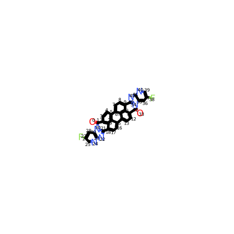 O=c1c2ccc3c4ccc5c6c(ccc(c7ccc(c2c37)c2nc3ncc(F)cc3n12)c46)c(=O)n1c2cc(F)cnc2nc51